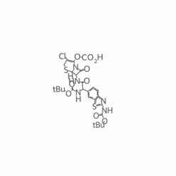 CC(C)(C)OC(=O)Nc1nc2ccc(C(NC(=O)OC(C)(C)C)C(=O)NC3C(=O)N4C(OC(=O)O)=C(Cl)CS[C@@H]34)cc2s1